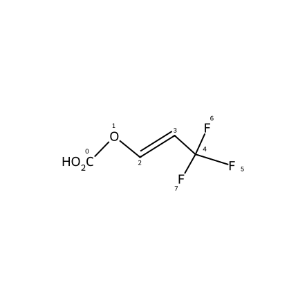 O=C(O)OC=CC(F)(F)F